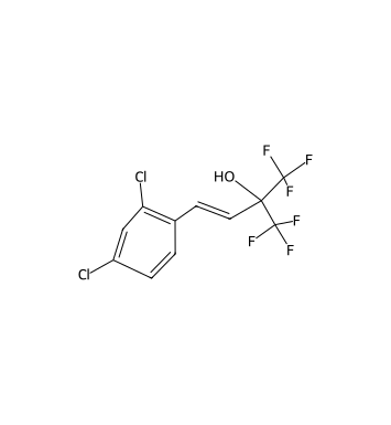 OC(C=Cc1ccc(Cl)cc1Cl)(C(F)(F)F)C(F)(F)F